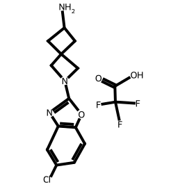 NC1CC2(C1)CN(c1nc3cc(Cl)ccc3o1)C2.O=C(O)C(F)(F)F